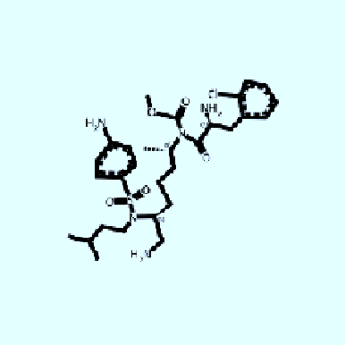 COC(=O)N(C(=O)[C@@H](N)Cc1ccccc1Cl)[C@@H](C)CCC[C@@H](CN)N(CCC(C)C)S(=O)(=O)c1ccc(N)cc1